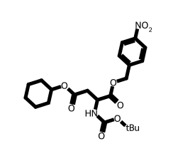 CC(C)(C)OC(=O)NC(CC(=O)OC1CCCCC1)C(=O)OCc1ccc([N+](=O)[O-])cc1